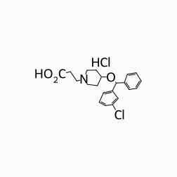 Cl.O=C(O)CCN1CCC(OC(c2ccccc2)c2cccc(Cl)c2)CC1